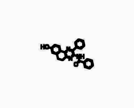 O=C(Nc1nc2c(nc1-c1ccccc1)-c1ccc(O)cc1CC2)c1ccccc1